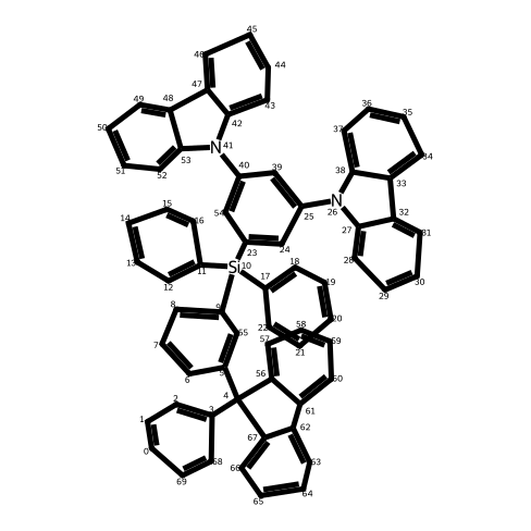 c1ccc(C2(c3cccc([Si](c4ccccc4)(c4ccccc4)c4cc(-n5c6ccccc6c6ccccc65)cc(-n5c6ccccc6c6ccccc65)c4)c3)c3ccccc3-c3ccccc32)cc1